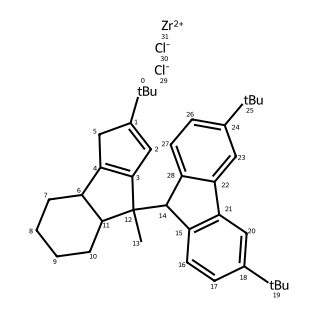 CC(C)(C)C1=CC2=C(C1)C1CCCCC1C2(C)C1c2ccc(C(C)(C)C)cc2-c2cc(C(C)(C)C)ccc21.[Cl-].[Cl-].[Zr+2]